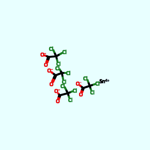 O=C([O-])C(Cl)(Cl)Cl.O=C([O-])C(Cl)(Cl)Cl.O=C([O-])C(Cl)(Cl)Cl.O=C([O-])C(Cl)(Cl)Cl.[Sn+4]